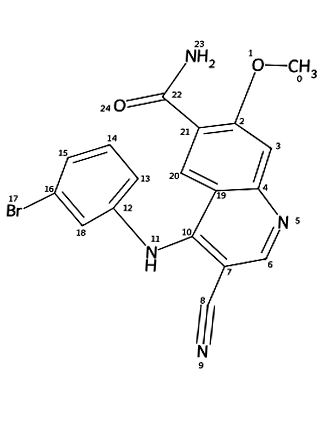 COc1cc2ncc(C#N)c(Nc3cccc(Br)c3)c2cc1C(N)=O